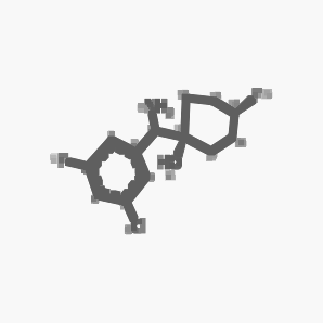 NC(c1cc(F)cc(Cl)c1)[C@]1(O)CC[C@@H](F)CC1